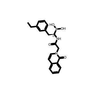 CCc1cccc(C[C@H](NC(=O)Cn2ccc3ccccc3c2=O)B(O)O)c1